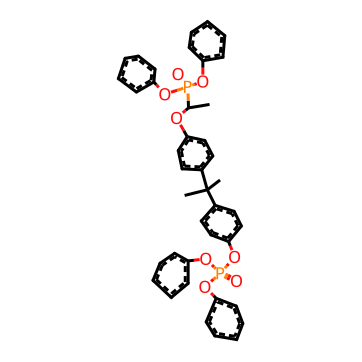 CC(Oc1ccc(C(C)(C)c2ccc(OP(=O)(Oc3ccccc3)Oc3ccccc3)cc2)cc1)P(=O)(Oc1ccccc1)Oc1ccccc1